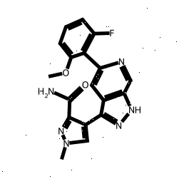 COc1cccc(F)c1-c1cc2c(-c3cn(C)nc3C(N)=O)n[nH]c2cn1